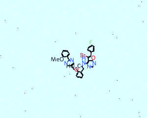 COc1ccccc1-c1ncc(COc2ccccc2CC(Nc2ncnc3oc(-c4ccc(F)cc4)c(Br)c23)C(=O)O)cn1